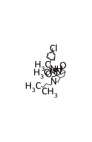 CC(C)CCN1CC2CC3C(=O)NC2(C(=O)NCc2ccc(Cl)cc2)C1C3CC(C)C